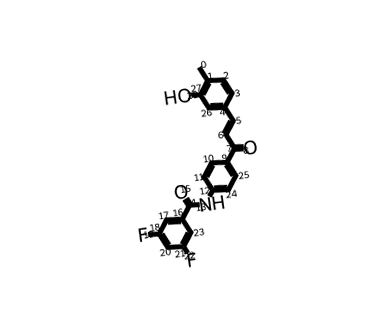 Cc1ccc(/C=C/C(=O)c2ccc(NC(=O)c3cc(F)cc(F)c3)cc2)cc1O